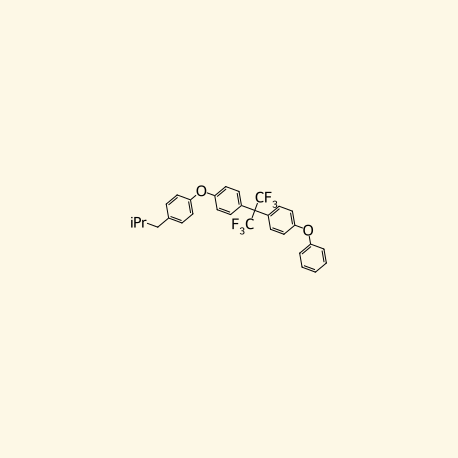 CC(C)Cc1ccc(Oc2ccc(C(c3ccc(Oc4ccccc4)cc3)(C(F)(F)F)C(F)(F)F)cc2)cc1